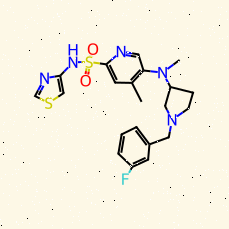 Cc1cc(S(=O)(=O)Nc2cscn2)ncc1N(C)C1CCN(Cc2cccc(F)c2)C1